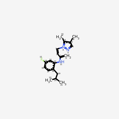 C=C(/C=C\n1ncc(C)c1C)Nc1cc(F)ccc1CC(C)C